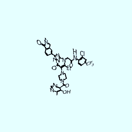 CCc1c(N2CCN(C(=O)c3ncnc(C)c3O)CC2)c(=O)n2nc(-c3ccc4c(c3)CN(C)C4=O)nc2n1CC(=O)Nc1ccc(C(F)(F)F)cc1Cl